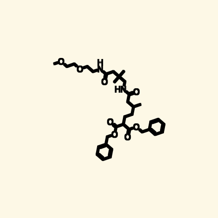 COCCOCCNC(=O)CC(C)(C)CNC(=O)CC(C)CCC(C(=O)OCc1ccccc1)C(=O)OCc1ccccc1